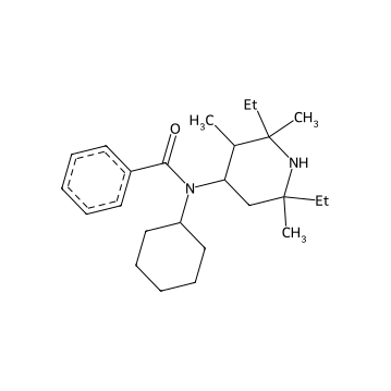 CCC1(C)CC(N(C(=O)c2ccccc2)C2CCCCC2)C(C)C(C)(CC)N1